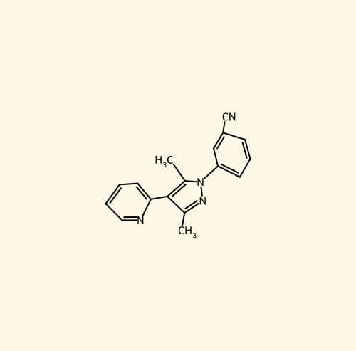 Cc1nn(-c2cccc(C#N)c2)c(C)c1-c1ccccn1